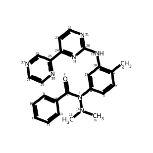 Cc1ccc(N(C(=O)c2ccccc2)N(C)C)cc1Nc1nccc(-c2cnccn2)n1